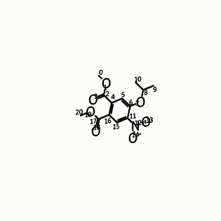 COC(=O)c1cc(OC(C)C)c([N+](=O)[O-])cc1C(=O)OC